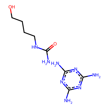 NC(=O)NCCCCO.Nc1nc(N)nc(N)n1